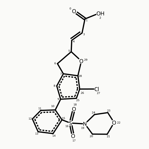 O=C(O)C=CC1Cc2cc(-c3ccccc3S(=O)(=O)N3CCOCC3)cc(Cl)c2O1